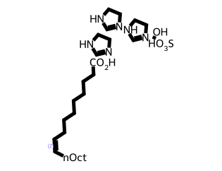 C1=NCCN1.C1=NCCN1.C1=NCCN1.CCCCCCCC/C=C\CCCCCCCC(=O)O.O=S(=O)(O)O